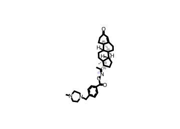 C/C(=N\OC(=O)c1ccc(CN2CCN(C)CC2)cc1)[C@H]1CC[C@H]2[C@@H]3CCC4=CC(=O)CC[C@]4(C)[C@H]3CC[C@]12C